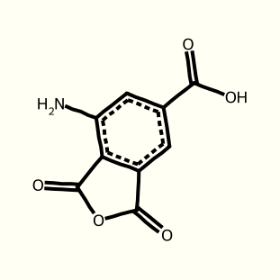 Nc1cc(C(=O)O)cc2c1C(=O)OC2=O